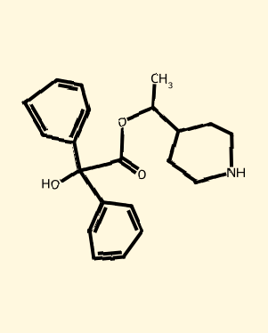 CC(OC(=O)C(O)(c1ccccc1)c1ccccc1)C1CCNCC1